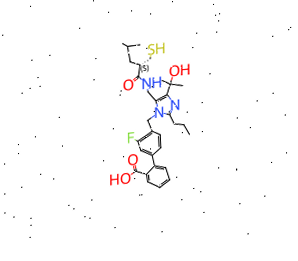 CCCc1nc(C(C)(C)O)c(CNC(=O)[C@@H](CS)CC(C)C)n1Cc1ccc(-c2ccccc2C(=O)O)cc1F